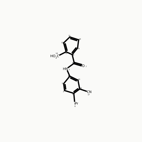 CC(C)c1ccc(NC(=O)c2ccccc2C(=O)O)cc1C#N